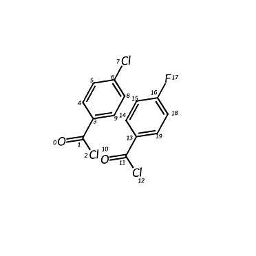 O=C(Cl)c1ccc(Cl)cc1.O=C(Cl)c1ccc(F)cc1